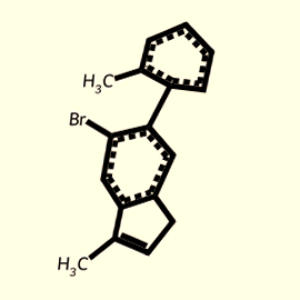 CC1=CCc2cc(-c3ccccc3C)c(Br)cc21